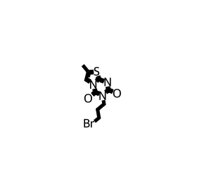 Cc1cn2c(=O)n(CCCBr)c(=O)nc2s1